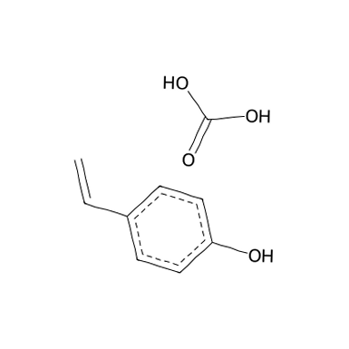 C=Cc1ccc(O)cc1.O=C(O)O